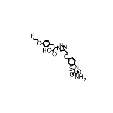 NS(=O)(=O)c1nc2ccc(OCc3cn([C@@H](Cc4ccc(OCCF)cc4)C(=O)O)nn3)cc2s1